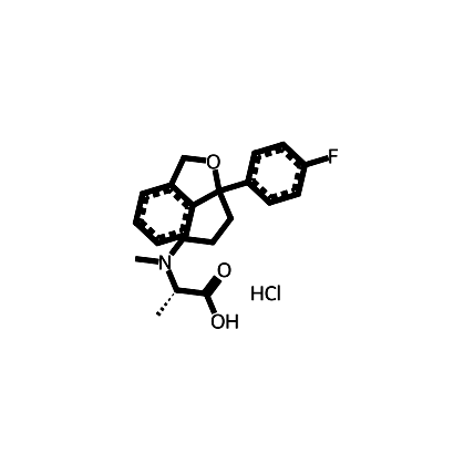 C[C@@H](C(=O)O)N(C)CCCC1(c2ccc(F)cc2)OCc2ccccc21.Cl